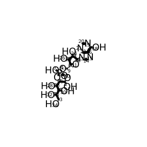 O=C(O)[C@H](OP(=O)(O)OC[C@H]1O[C@@H](n2cnc3c(O)ncnc32)[C@H](O)[C@@H]1O)[C@@H](O)[C@H](O)[C@H](O)CO